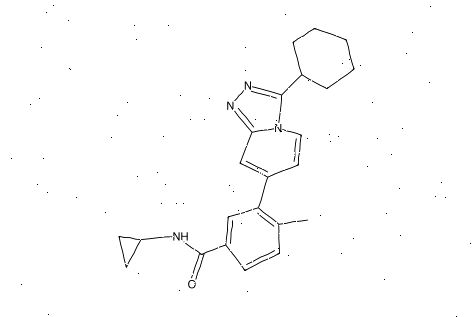 Cc1ccc(C(=O)NC2CC2)cc1-c1ccn2c(C3CCCCC3)nnc2c1